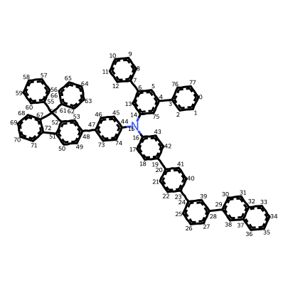 c1ccc(-c2cc(-c3ccccc3)cc(N(c3ccc(-c4ccc(-c5cccc(-c6ccc7ccccc7c6)c5)cc4)cc3)c3ccc(-c4ccc5c(c4)C(c4ccccc4)(c4ccccc4)c4ccccc4-5)cc3)c2)cc1